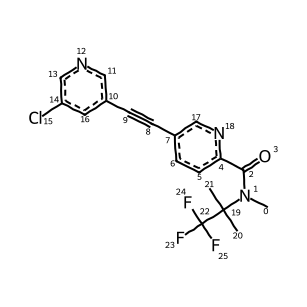 CN(C(=O)c1ccc(C#Cc2cncc(Cl)c2)cn1)C(C)(C)C(F)(F)F